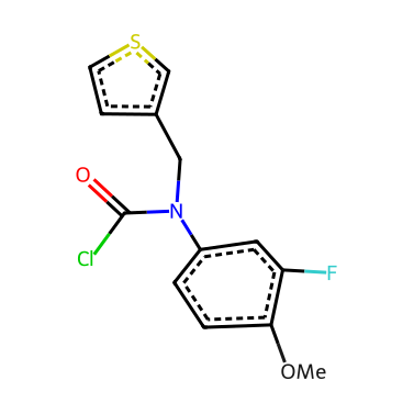 COc1ccc(N(Cc2ccsc2)C(=O)Cl)cc1F